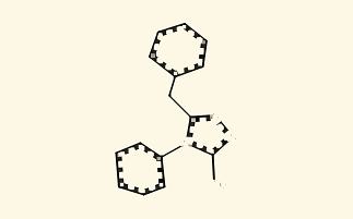 [CH2]Sc1nnc(Cc2ccccc2)n1-c1ccccc1